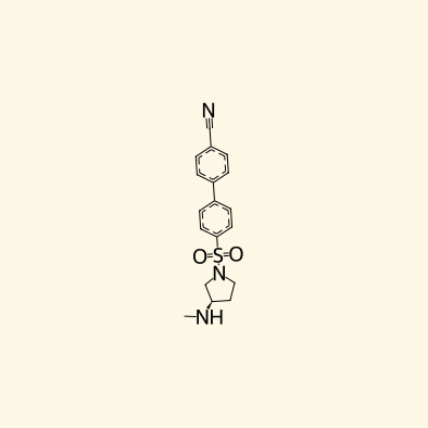 CN[C@@H]1CCN(S(=O)(=O)c2ccc(-c3ccc(C#N)cc3)cc2)C1